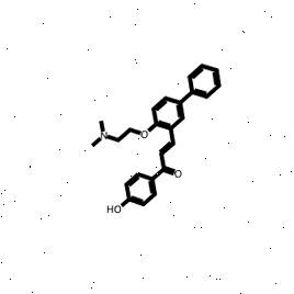 CN(C)CCOc1ccc(-c2ccccc2)cc1C=CC(=O)c1ccc(O)cc1